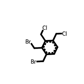 ClCc1ccc(CBr)c(CBr)c1CCl